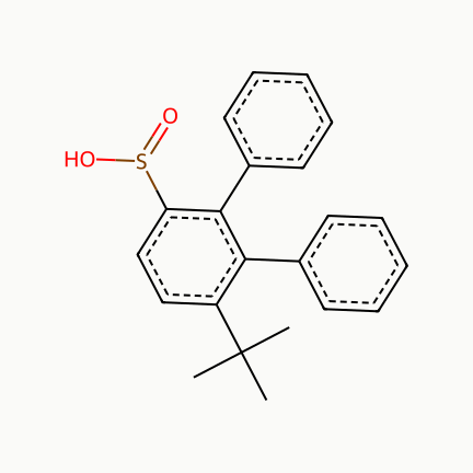 CC(C)(C)c1ccc(S(=O)O)c(-c2ccccc2)c1-c1ccccc1